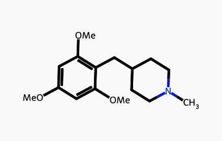 COc1cc(OC)c(CC2CCN(C)CC2)c(OC)c1